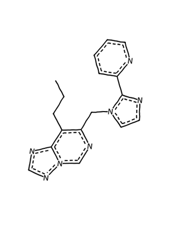 CCCc1c(Cn2ccnc2-c2ccccn2)ncn2ncnc12